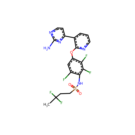 CC(F)(F)CCS(=O)(=O)Nc1c(F)cc(Oc2ncccc2-c2ccnc(N)n2)c(F)c1F